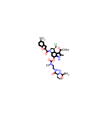 BC(=O)N[C@@H](CC(C)C)C(=O)NCCN(CC)C(=O)Oc1cc2c(c3c(C(=O)OC)c(C)[nH]c13)[C@H](CCl)CN2C(=O)c1cc2cc([N+](=O)[O-])ccc2o1